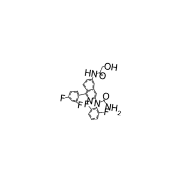 NC(=O)N(c1cc2cc(NC(=O)CO)ccc2c(-c2ccc(F)cc2F)n1)c1c(F)cccc1F